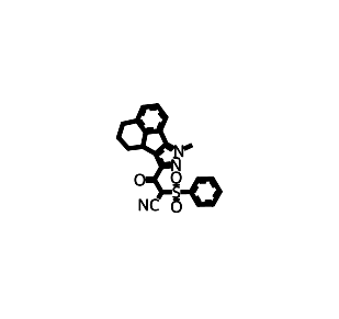 Cn1nc(C(=O)C(C#N)S(=O)(=O)c2ccccc2)c2c1-c1cccc3c1C2CCC3